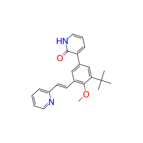 COc1c(C=Cc2ccccn2)cc(-c2ccc[nH]c2=O)cc1C(C)(C)C